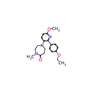 CCOc1ccc(-c2nc(OC)ccc2N2CCC(=O)N(C)CC2)cc1